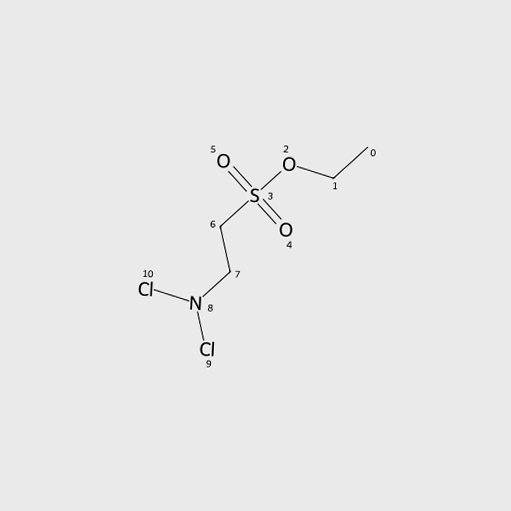 CCOS(=O)(=O)CCN(Cl)Cl